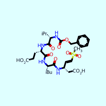 CCC(C)[C@H](NC(=O)[C@H](CCC(=O)O)NC(=O)[C@@H](NC(=O)OCc1ccccc1)C(C)C)C(=O)N[C@H](/C=C/S(C)(=O)=O)CC(=O)O